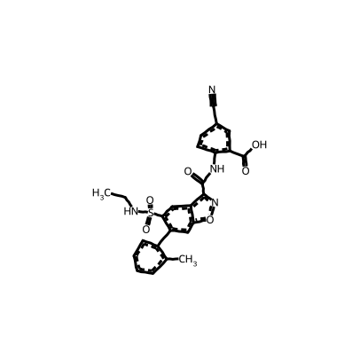 CCNS(=O)(=O)c1cc2c(C(=O)Nc3ccc(C#N)cc3C(=O)O)noc2cc1-c1ccccc1C